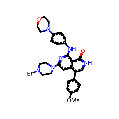 CCN1CCN(c2cc3c(-c4ccc(OC)cc4)c[nH]c(=O)c3c(Nc3ccc(N4CCOCC4)cc3)n2)CC1